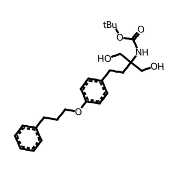 CC(C)(C)OC(=O)NC(CO)(CO)CCc1ccc(OCCCc2ccccc2)cc1